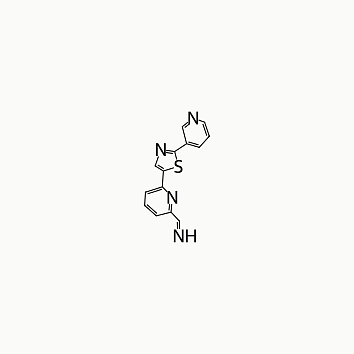 N=Cc1cccc(-c2cnc(-c3cccnc3)s2)n1